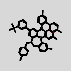 Cc1ccc(CC2Cc3ccc(C)cc3B3c4cc(C)ccc4N(c4ccc(C)cc4-c4ccc(C)cc4)c4cc(-c5cccc(C(C)(C)C)c5)cc2c43)cc1